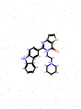 O=c1c2sccc2nc(-c2ccc3[nH]c4ccccc4c3c2)n1CCN1CCCCC1